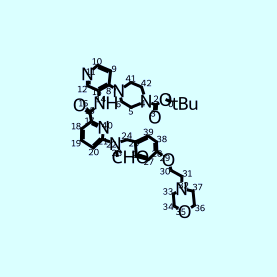 CC(C)(C)OC(=O)N1CCN(c2ccncc2NC(=O)c2cccc(N(C=O)Cc3ccc(OCCN4CCOCC4)cc3)n2)CC1